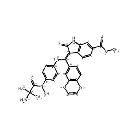 COC(=O)c1ccc2c(c1)NC(=O)/C2=C(\Nc1ccc(N(C)C(=O)C(C)(C)N)cc1)c1ccc2c(c1)OC=CO2